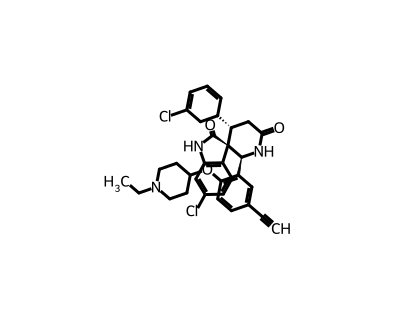 C#Cc1ccc(OC2CCN(CC)CC2)c([C@@H]2NC(=O)C[C@@H](C3C=CC=C(Cl)C3)[C@]23C(=O)Nc2cc(Cl)ccc23)c1